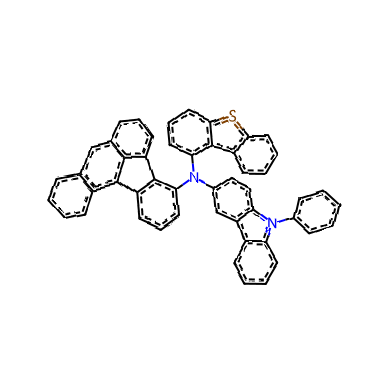 c1ccc(-n2c3ccccc3c3cc(N(c4cccc5c4-c4cccc6cc7ccccc7c-5c46)c4cccc5sc6ccccc6c45)ccc32)cc1